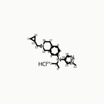 CC(C)N(c1ccc2c(c1)CN(CC1CC1)CC2)c1cnn(C)c1.Cl